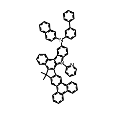 CC1(C)c2cc3c4ccccc4c4ccccc4c3cc2-c2c1c1ccccc1c1c3cc(N(c4cccc(-c5ccccc5)c4)c4ccc5ccccc5c4)ccc3n(-c3ccccn3)c21